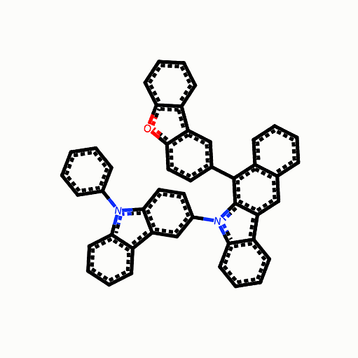 c1ccc(-n2c3ccccc3c3cc(-n4c5ccccc5c5cc6ccccc6c(-c6ccc7oc8ccccc8c7c6)c54)ccc32)cc1